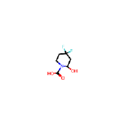 O=C(O)N1CCC(F)(F)CC1O